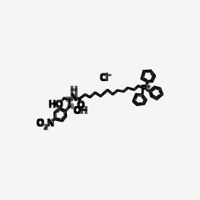 O=C(CCCCCCCCCCC[P+](c1ccccc1)(c1ccccc1)c1ccccc1)N[C@H](CO)[C@H](O)c1ccc([N+](=O)[O-])cc1.[Cl-]